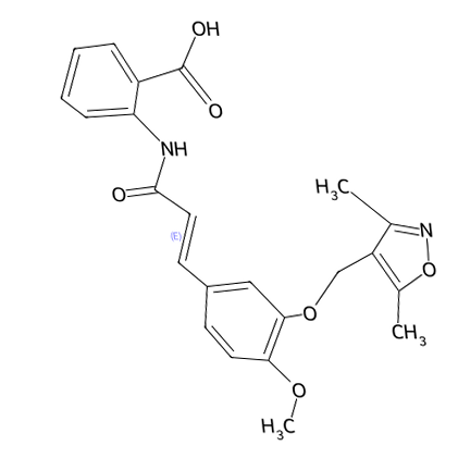 COc1ccc(/C=C/C(=O)Nc2ccccc2C(=O)O)cc1OCc1c(C)noc1C